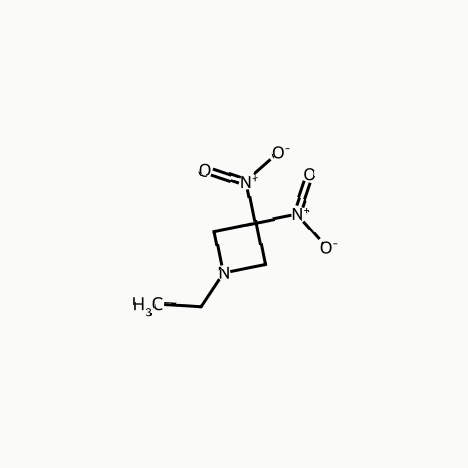 CCN1CC([N+](=O)[O-])([N+](=O)[O-])C1